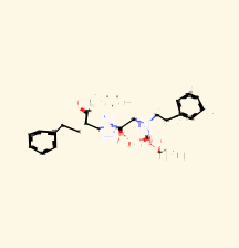 COC(=O)[C@H](CCc1ccccc1)CNC(=O)CN(CCc1ccccc1)C(=O)OC(C)(C)C